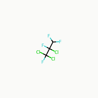 F[C](F)C(F)(Cl)C(F)(Cl)Cl